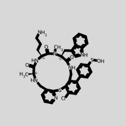 C[C@@H]1NCc2cccnc2Sc2c(Cl)ccc(-c3ccc(SO)cc3)c2CNC(=O)[C@H](Cc2c[nH]c3ccccc23)N(C)C(=O)[C@H](CCCN)NC1=O